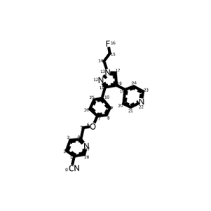 N#Cc1ccc(COc2ccc(-c3nn(CCF)cc3-c3ccncc3)cc2)nc1